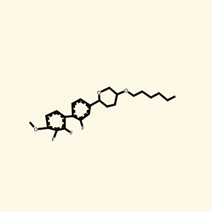 CCCCCCOC1CCC(c2ccc(-c3ccc(OC)c(F)c3F)c(F)c2)OC1